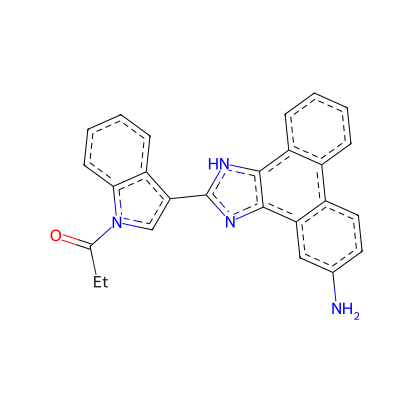 CCC(=O)n1cc(-c2nc3c4cc(N)ccc4c4ccccc4c3[nH]2)c2ccccc21